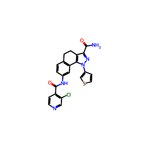 NC(=O)c1nn(-c2ccsc2)c2c1CCc1ccc(NC(=O)c3ccncc3Cl)cc1-2